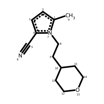 Cc1ccc(C#N)n1CCC1CCOCC1